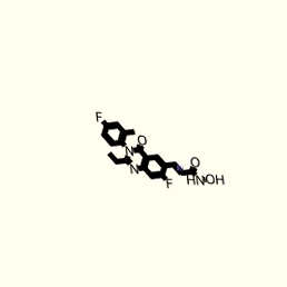 CCc1nc2cc(F)c(/C=C/C(=O)NO)cc2c(=O)n1-c1ccc(F)cc1C